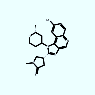 C[C@@H]1CC(n2c([C@@H]3CC(=O)N(C)C3)nc3cnc4ccc(C#N)cc4c32)CCO1